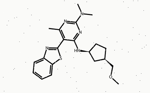 COC[C@@H]1CC[C@H](Nc2nc(N(C)C)nc(C)c2-c2nc3ccccc3s2)C1